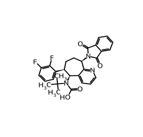 CC(C)(C)N(C(=O)O)[C@@H]1c2cccnc2[C@H](N2C(=O)c3ccccc3C2=O)CC[C@@H]1c1cccc(F)c1F